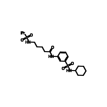 CC(C)S(=O)(=O)NCCCCC(=O)Nc1cccc(S(=O)(=O)NC2CCCCC2)c1